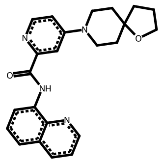 O=C(Nc1cccc2cccnc12)c1cc(N2CCC3(CCCO3)CC2)ccn1